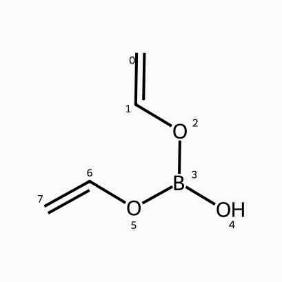 C=COB(O)OC=C